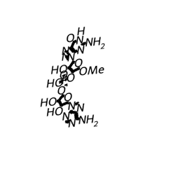 CO[C@H]1O[C@@H](n2nnc3c(=O)[nH]c(N)nc32)C(O)C1OP(=O)(O)CO[C@H]1O[C@@H](n2cnc3c(N)ncnc32)C(O)C1O